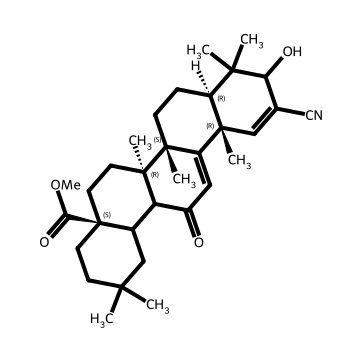 COC(=O)[C@]12CCC(C)(C)CC1C1C(=O)C=C3[C@@]4(C)C=C(C#N)C(O)C(C)(C)[C@@H]4CC[C@@]3(C)[C@]1(C)CC2